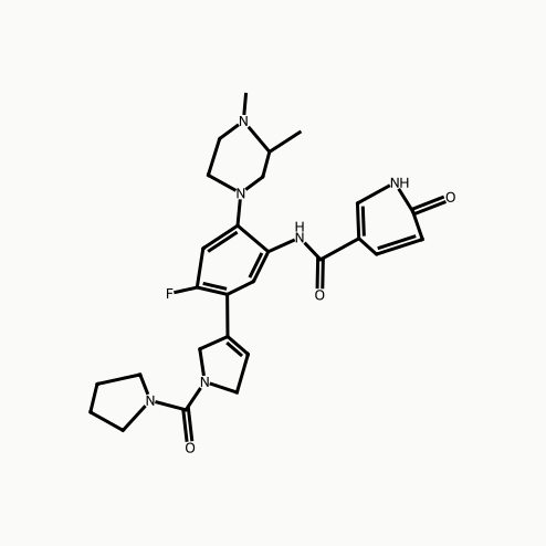 CC1CN(c2cc(F)c(C3=CCN(C(=O)N4CCCC4)C3)cc2NC(=O)c2ccc(=O)[nH]c2)CCN1C